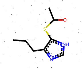 CCCc1nc[nH]c1SC(C)[O]